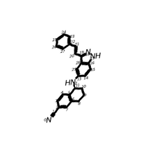 N#Cc1ccc2c(c1)CCC[C@@H]2Nc1ccc2[nH]nc(/C=C/c3ccccc3)c2c1